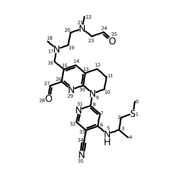 CSCC(C)Nc1cc(N2CCCc3cc(CN(C)CCN(C)CC=O)c(C=O)nc32)ncc1C#N